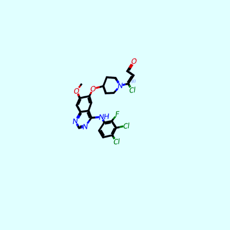 COc1cc2ncnc(Nc3ccc(Cl)c(Cl)c3F)c2cc1OC1CCN(/C(Cl)=C\C=O)CC1